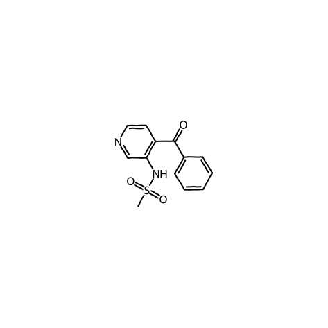 CS(=O)(=O)Nc1cnccc1C(=O)c1ccccc1